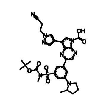 CC1CCCN1c1cc(-c2cnc3c(n2)c(-c2cnn(CCC#N)c2)cn3C(=O)O)cc(S(=O)(=O)N(C)C(=O)OC(C)(C)C)c1